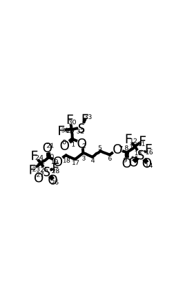 O=C(OC(CCCOC(=O)C(F)(F)S(=O)(=O)F)CCOC(=O)C(F)(F)S(=O)(=O)F)C(F)(F)SF